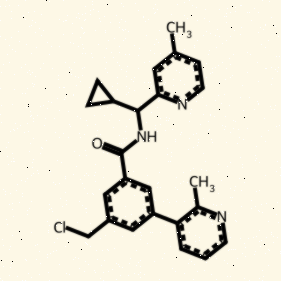 Cc1ccnc(C(NC(=O)c2cc(CCl)cc(-c3cccnc3C)c2)C2CC2)c1